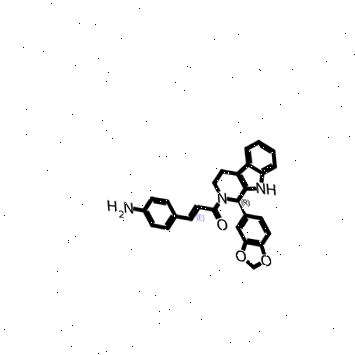 Nc1ccc(/C=C/C(=O)N2CCc3c([nH]c4ccccc34)[C@H]2c2ccc3c(c2)OCO3)cc1